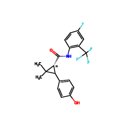 CC1(C)C(c2ccc(O)cc2)[C@H]1C(=O)Nc1ccc(F)cc1C(F)(F)F